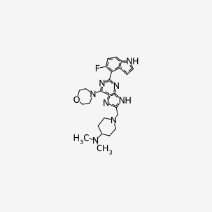 CN(C)C1CCN(Cc2nc3c(N4CCOCC4)nc(-c4c(F)ccc5[nH]ccc45)nc3[nH]2)CC1